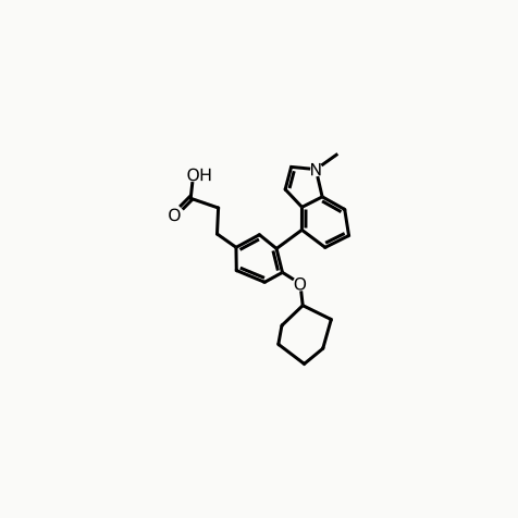 Cn1ccc2c(-c3cc(CCC(=O)O)ccc3OC3CCCCC3)cccc21